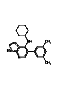 Cc1cc(C)cc(-c2cnc3[nH]ccc3c2NC2CCCCC2)c1